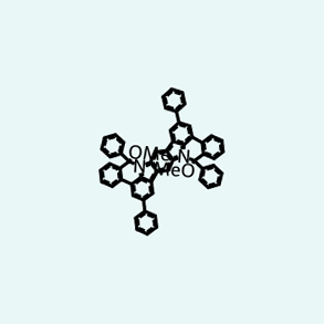 COC1(c2ccccc2)c2ccccc2-c2cc(-c3ccccc3)cc3c4cc5c(cc4n1c23)c1cc(-c2ccccc2)cc2c1n5C(OC)(c1ccccc1)c1ccccc1-2